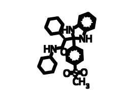 CS(=O)(=O)c1ccc(C2([C@@H](C(=O)NC3CCCCC3)C3CCCCC3)Nc3ccccc3N2)cc1